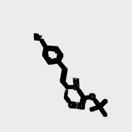 CC(C)(C)OC(=O)N[C@@H](C=Cc1ccc(Br)cc1)CO